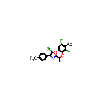 CC(=O)c1c(F)ccc(OC(C)c2nc(-c3ccc(C(F)(F)F)cc3)c(Br)o2)c1F